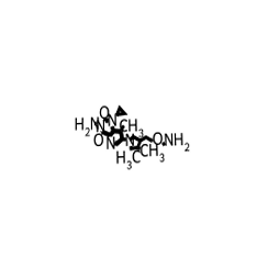 Cc1c(N2CC(CCOCN)C(C)(C)C2)cnc2c(=O)n(N)c(=O)n(C3CC3)c12